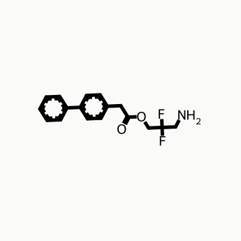 NCC(F)(F)COC(=O)Cc1ccc(-c2ccccc2)cc1